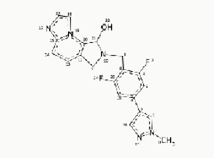 Cn1cc(-c2cc(F)c(CN3Cc4ccc5nccn5c4C3O)c(F)c2)cn1